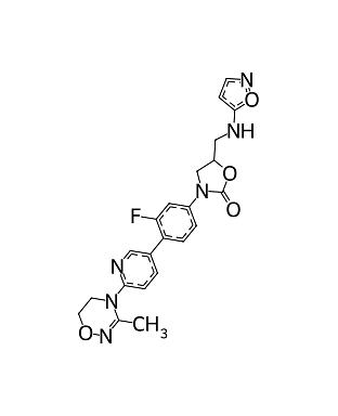 CC1=NOCCN1c1ccc(-c2ccc(N3CC(CNc4ccno4)OC3=O)cc2F)cn1